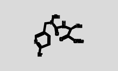 CCCCN(Cc1ccc(Br)nc1)C(=O)N[C@H](C(=O)OC)C(C)CC